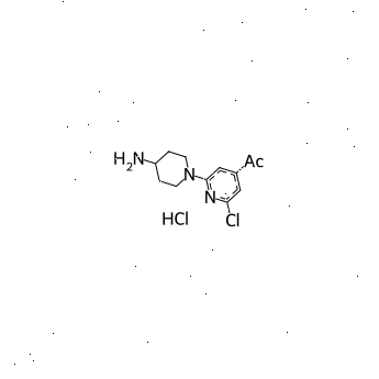 CC(=O)c1cc(Cl)nc(N2CCC(N)CC2)c1.Cl